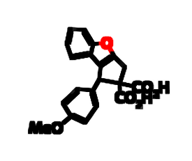 COc1ccc(C2c3c(oc4ccccc34)CC2(C(=O)O)C(=O)O)cc1